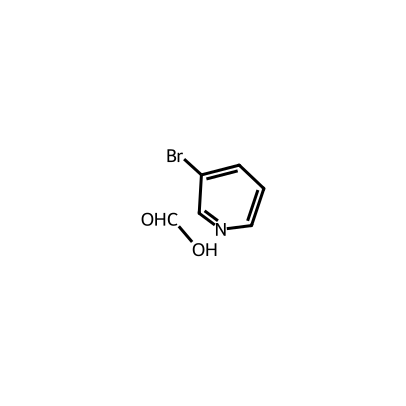 Brc1cccnc1.O=CO